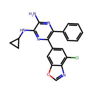 Nc1nc(-c2ccccc2)c(-c2cc(Cl)c3ncoc3c2)nc1NC1CC1